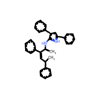 CC(Nc1[nH]c(-c2ccccc2)cc1-c1ccccc1)/C(=C\C(C)c1ccccc1)c1ccccc1